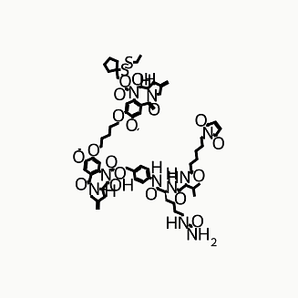 C=C1C[C@H]2C(O)N(C(=O)OCc3ccc(NC(=O)[C@H](CCCCNC(N)=O)NC(=O)[C@@H](NC(=O)CCCCCN4C(=O)C=CC4=O)C(C)C)cc3)c3cc(OCCCCCOc4cc5c(cc4OC)C(=O)N4CC(=C)C[C@H]4C(O)N5C(=O)OCC4(SSCC)CCCC4)c(OC)cc3C(=O)N2C1